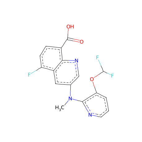 CN(c1cnc2c(C(=O)O)ccc(F)c2c1)c1ncccc1OC(F)F